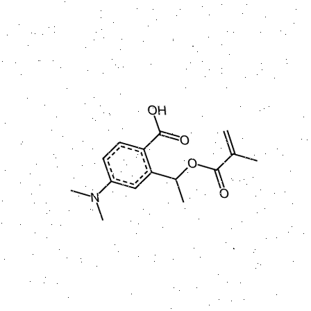 C=C(C)C(=O)OC(C)c1cc(N(C)C)ccc1C(=O)O